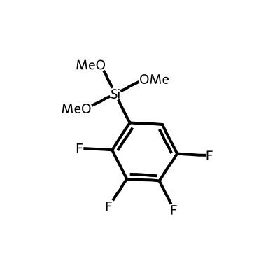 CO[Si](OC)(OC)c1cc(F)c(F)c(F)c1F